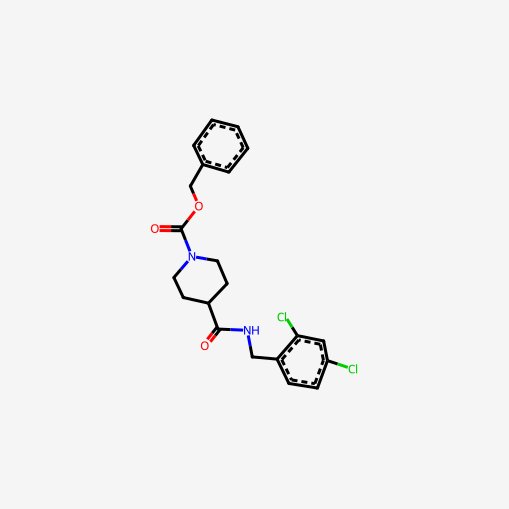 O=C(NCc1ccc(Cl)cc1Cl)C1CCN(C(=O)OCc2ccccc2)CC1